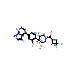 Cc1cc(-c2ccnc3[nH]cc(F)c23)cc(F)c1C1(O)[C@H](C)CN(C(=O)C2CC(F)(F)C2)C[C@@H]1C